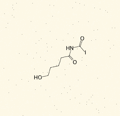 O=C(I)NC(=O)CCCCO